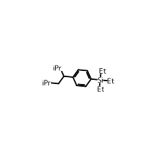 CC[Si](CC)(CC)c1ccc(C(CC(C)C)C(C)C)cc1